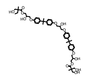 CCC(C)(CO)C(=O)OCC(O)COc1ccc(C(C)(C)c2ccc(OCC(O)COc3ccc(C(C)(C)c4ccc(OCC(O)COC(=O)C(C)(CO)CO)cc4)cc3)cc2)cc1